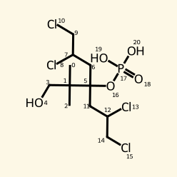 CC(C)(CO)C(CC(Cl)CCl)(CC(Cl)CCl)OP(=O)(O)O